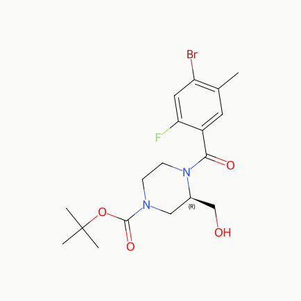 Cc1cc(C(=O)N2CCN(C(=O)OC(C)(C)C)C[C@@H]2CO)c(F)cc1Br